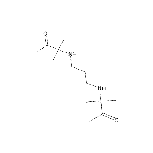 CC(=O)C(C)(C)NCCCNC(C)(C)C(C)=O